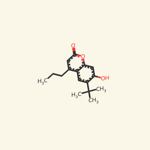 CCCc1cc(=O)oc2cc(O)c(C(C)(C)C)cc12